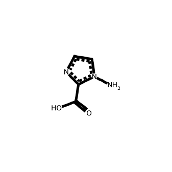 Nn1ccnc1C(=O)O